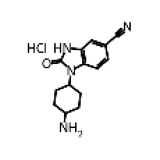 Cl.N#Cc1ccc2c(c1)[nH]c(=O)n2C1CCC(N)CC1